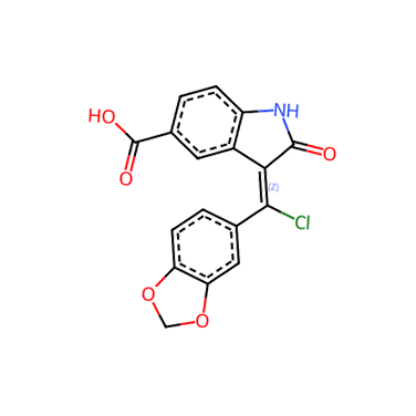 O=C1Nc2ccc(C(=O)O)cc2/C1=C(/Cl)c1ccc2c(c1)OCO2